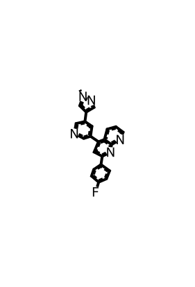 Cn1cc(-c2cncc(-c3cc(-c4ccc(F)cc4)nc4ncccc34)c2)cn1